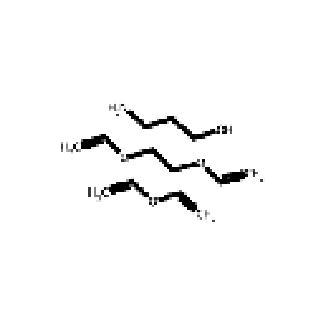 C=COC=C.C=COCCOC=C.NCCCO